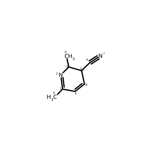 CC1=NC(C)[C](C#N)C=C1